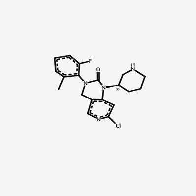 Cc1cccc(F)c1N1Cc2cnc(Cl)cc2N([C@@H]2CCCNC2)C1=O